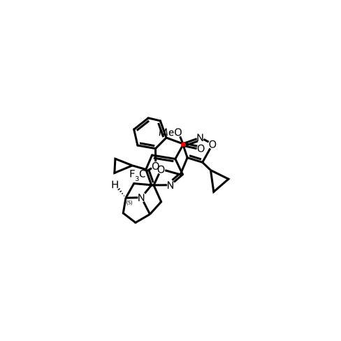 COC(=O)c1cnc(N2C3CC[C@H]2CC(OCc2c(-c4ccccc4OC(F)(F)F)noc2C2CC2)C3)c(C2CC2)c1